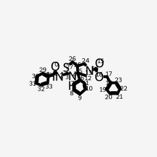 O=C(NC1NC2(c3ccccc3)CN(C(=O)OCc3ccccc3)CC2CS1)c1ccccc1